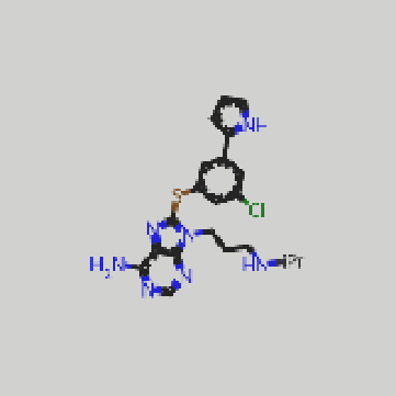 CC(C)NCCCn1c(Sc2cc(Cl)cc(-c3ccc[nH]3)c2)nc2c(N)ncnc21